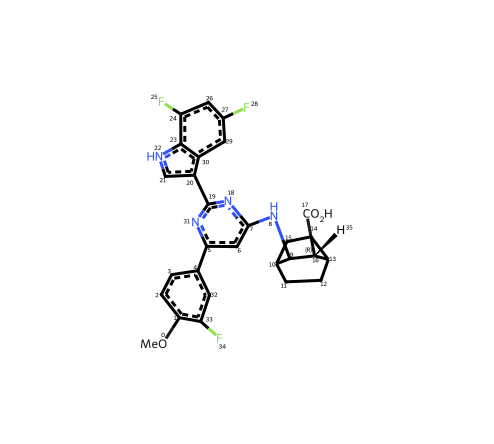 COc1ccc(-c2cc(NC3C4CCC(CC4)[C@H]3C(=O)O)nc(-c3c[nH]c4c(F)cc(F)cc34)n2)cc1F